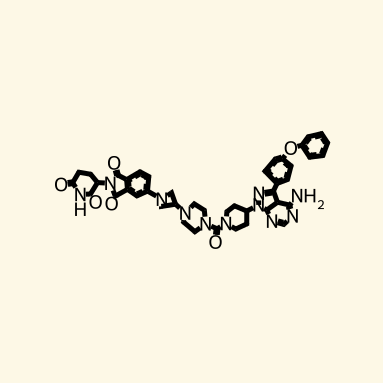 NC1=NC=NC2C1C(c1ccc(Oc3ccccc3)cc1)=NN2C1CCN(C(=O)N2CCN(C3CN(c4ccc5c(c4)C(=O)N(C4CCC(=O)NC4=O)C5=O)C3)CC2)CC1